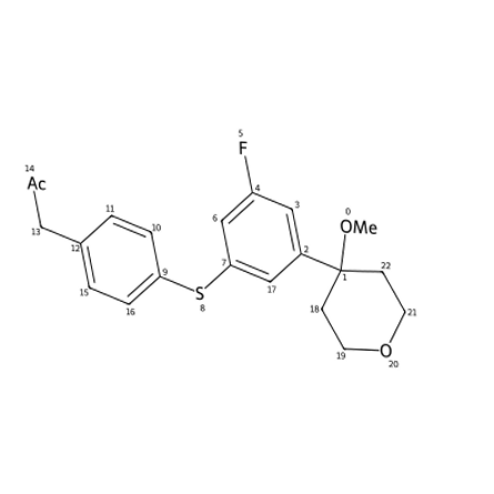 COC1(c2cc(F)cc(Sc3ccc(CC(C)=O)cc3)c2)CCOCC1